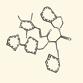 Cc1nn(C)c(C)c1C=CC(=O)N(Cc1ccc(-n2cccn2)cc1)C(Cc1ccccc1)C(=O)N1CCc2ccccc2C1